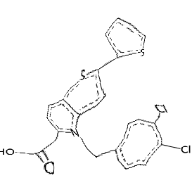 O=C(O)c1cc2sc(-c3cccs3)cc2n1Cc1ccc(Cl)c(Cl)c1